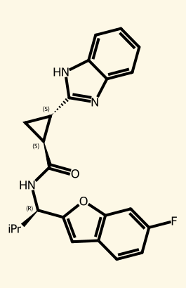 CC(C)[C@@H](NC(=O)[C@H]1C[C@@H]1c1nc2ccccc2[nH]1)c1cc2ccc(F)cc2o1